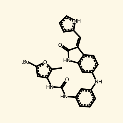 Cc1oc(C(C)(C)C)cc1NC(=O)Nc1cccc(Nc2ccc3c(c2)NC(=O)/C3=C\c2ccc[nH]2)c1